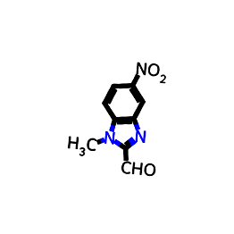 Cn1c(C=O)nc2cc([N+](=O)[O-])ccc21